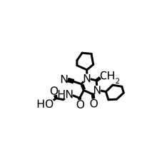 C=C1N(C2CCCCC2)C(=O)C(C(=O)NCC(=O)O)=C(C#N)N1C1CCCCC1